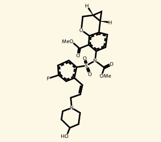 COC(=O)c1c(N(C(=O)OC)S(=O)(=O)c2ccc(F)cc2/C=C\CN2CCC(O)CC2)ccc2c1OC[C@@H]1C[C@H]21